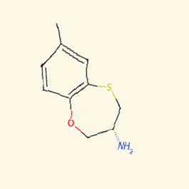 Cc1ccc2c(c1)SC[C@H](N)CO2